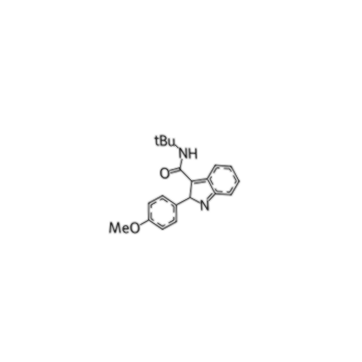 COc1ccc(C2N=c3ccccc3=C2C(=O)NC(C)(C)C)cc1